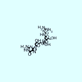 NC(N)=NC(=O)N[C@@H]1C[C@@H](OP(=O)(O)OCC2O[C@@H](n3cnc4c(=O)[nH]c(N)nc43)C[C@H]2O)C(CO)O1